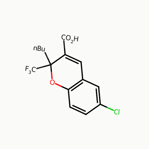 CCCCC1(C(F)(F)F)Oc2ccc(Cl)cc2C=C1C(=O)O